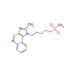 Cc1nc2cnc3ccccc3c2n1CCCCCS(C)(=O)=O